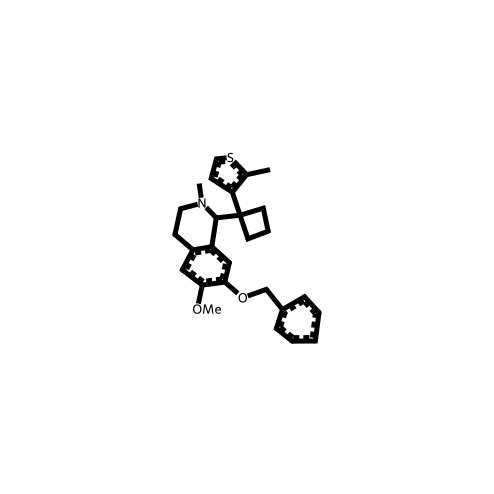 COc1cc2c(cc1OCc1ccccc1)C(C1(c3ccsc3C)CCC1)N(C)CC2